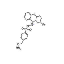 CC(C)c1ccc2sc3ccccc3/c(=N\OS(=O)(=O)c3ccc(CON)cc3)c2c1